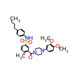 CCCCc1ccc(NS(=O)(=O)c2ccc(C)c(C(=O)N3CCN(c4ccc(OC)c(OC)c4)CC3)c2)cc1